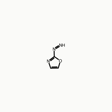 N=Nc1ncco1